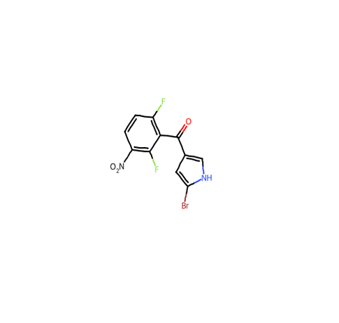 O=C(c1c[nH]c(Br)c1)c1c(F)ccc([N+](=O)[O-])c1F